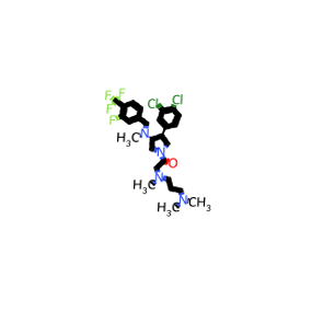 CN(C)CCCN(C)CC(=O)N1C[C@H](c2ccc(Cl)c(Cl)c2)[C@@H](N(C)Cc2ccc(C(F)(F)F)c(F)c2)C1